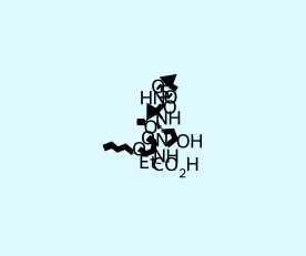 C=CCCCO[C@@H](CC)[C@H](NC(=O)O)C(=O)N1C[C@H](O)C[C@H]1C(=O)N[C@]1(C(=O)NS(=O)(=O)C2(C)CC2)C[C@H]1C=C